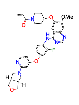 C=CC(=O)N1CCC(Oc2cc3c(Nc4ccc(Oc5ccnc(N6C[C@H]7COC[C@H]7C6)c5)cc4F)ncnc3cc2OC)CC1